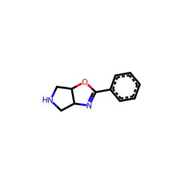 c1ccc(C2=NC3CNCC3O2)cc1